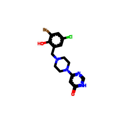 O=c1cc(N2CCN(Cc3cc(Cl)cc(Br)c3O)CC2)nc[nH]1